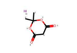 CC1(C)OC(=O)CC(=O)O1.I